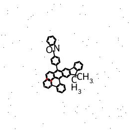 CC1(C)c2ccccc2-c2cc3c(-c4ccc(-c5nc6ccccc6o5)cc4)c4ccccc4c(-c4ccccc4-c4ccccc4)c3cc21